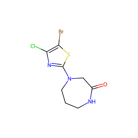 O=C1CN(c2nc(Cl)c(Br)s2)CCCN1